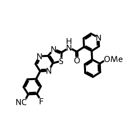 COc1ccccc1-c1cnccc1C(=O)Nc1nc2ncc(-c3ccc(C#N)c(F)c3)nc2s1